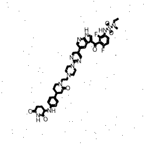 CCN(C)S(=O)(=O)Nc1ccc(F)c(C(=O)c2c[nH]c3ncc(-c4cnc(N5CCN(CCN6CCC(c7ccc(NC8CCC(=O)NC8=O)cc7)CC6=O)CC5)nc4)cc23)c1F